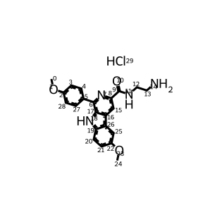 COc1ccc(-c2nc(C(=O)NCCN)cc3c2[nH]c2ccc(OC)cc23)cc1.Cl